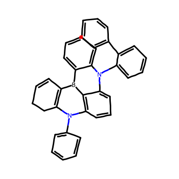 C1=CC2=C(CC1)N(c1ccccc1)c1cccc3c1B2c1ccccc1N3c1ccccc1-c1ccccc1